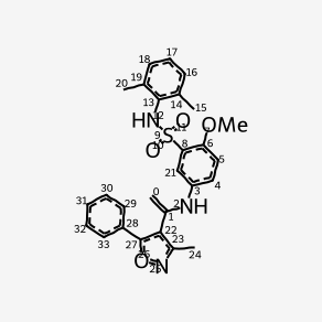 C=C(Nc1ccc(OC)c(S(=O)(=O)Nc2c(C)cccc2C)c1)c1c(C)noc1-c1ccccc1